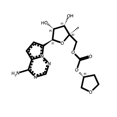 C[C@]1(COC(=O)O[C@@H]2CCOC2)O[C@@H](c2ccc3c(N)ncnn23)[C@H](O)[C@@H]1O